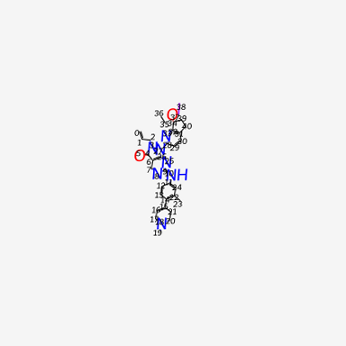 C=CCn1c(=O)c2cnc(Nc3ccc(C4=CCN(C)CC4)c(C)c3)nc2n1-c1ccc2c(n1)[C@@](CC)(OI)CC2